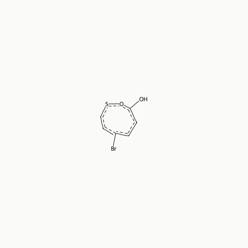 Oc1ccc(Br)ccso1